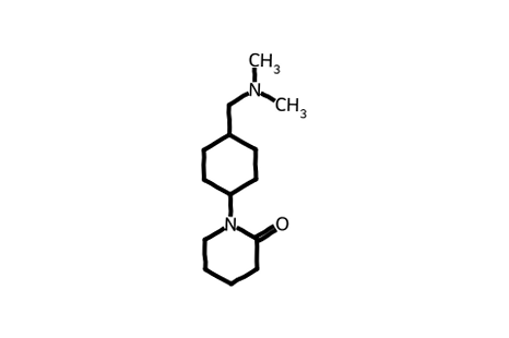 CN(C)CC1CCC(N2CCCCC2=O)CC1